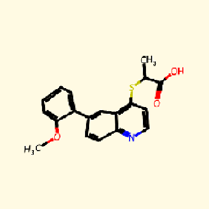 COc1ccccc1-c1ccc2nccc(SC(C)C(=O)O)c2c1